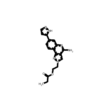 CCC(=O)OCCn1cc2c(N)nc3cc(-c4ccn[nH]4)ccc3c2n1